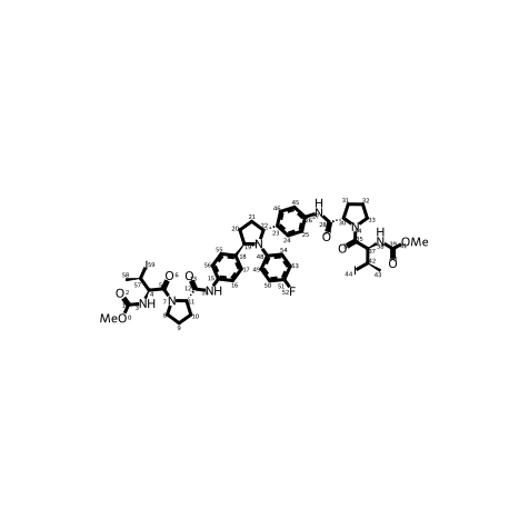 COC(=O)N[C@H](C(=O)N1CCC[C@H]1C(=O)Nc1ccc([C@H]2CC[C@H](c3ccc(NC(=O)[C@@H]4CCCN4C(=O)[C@@H](NC(=O)OC)[C@@H](C)I)cc3)N2c2ccc(F)cc2)cc1)[C@@H](C)I